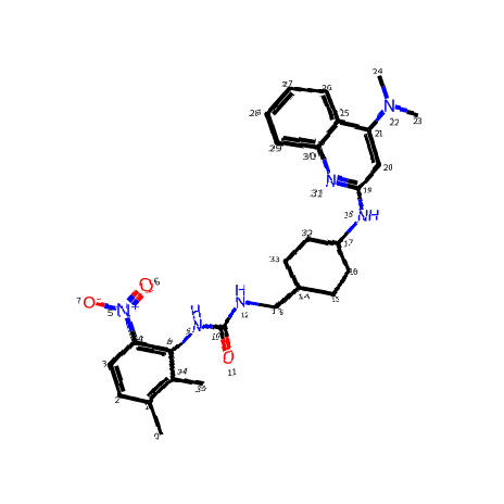 Cc1ccc([N+](=O)[O-])c(NC(=O)NCC2CCC(Nc3cc(N(C)C)c4ccccc4n3)CC2)c1C